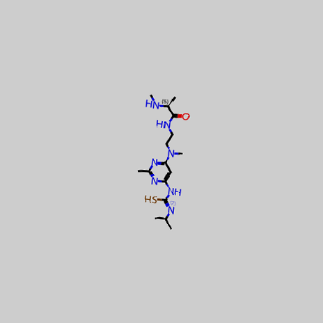 CN[C@@H](C)C(=O)NCCN(C)c1cc(N/C(S)=N/C(C)C)nc(C)n1